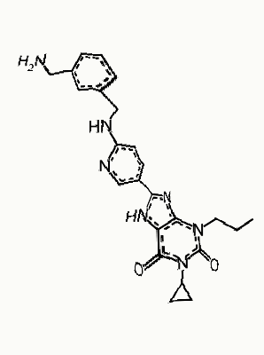 CCCn1c(=O)n(C2CC2)c(=O)c2[nH]c(-c3ccc(NCc4cccc(CN)c4)nc3)nc21